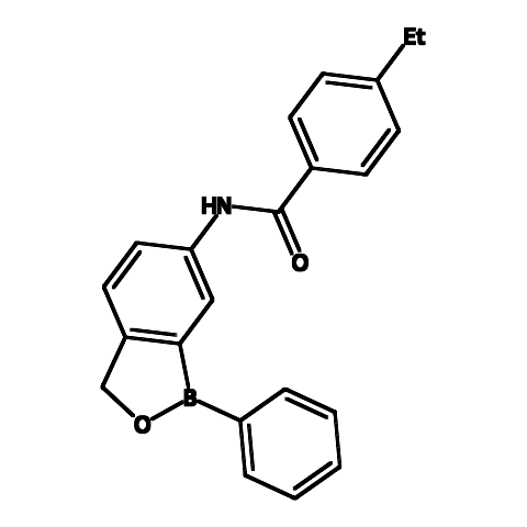 CCc1ccc(C(=O)Nc2ccc3c(c2)B(c2ccccc2)OC3)cc1